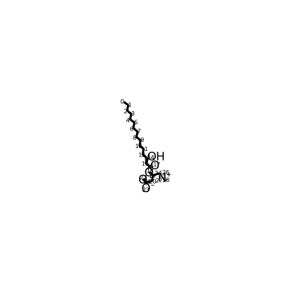 CCCCCCCCCCCCCC(O)=CC(=O)OC(CC(=O)[O-])C[N+](C)(C)C